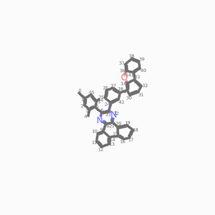 Cc1cc(C)c(-c2nc3c4ccccc4c4ccccc4c3nc2-c2cccc(-c3cccc4c3oc3ccccc34)c2)c(C)c1